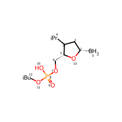 B[C@H]1CC(C(C)C)[C@@H](COP(=O)(O)OC(C)CC)O1